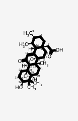 C[C@H]1[C@H](C)CC[C@]2(CC(=O)O)CC[C@]3(C)C(=CC(=O)[C@@H]4[C@@]5(C)CC[C@H](O)C(C)(C)[C@@H]5CC[C@]43C)[C@H]12